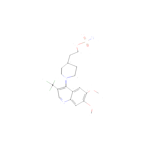 COc1cc2ncc(C(F)(F)F)c(N3CCC(CCOS(N)(=O)=O)CC3)c2cc1OC